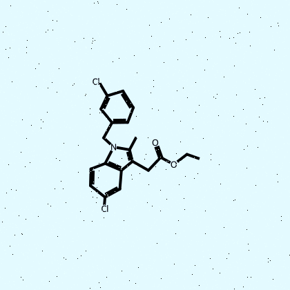 CCOC(=O)Cc1c(C)n(Cc2cccc(Cl)c2)c2ccc(Cl)cc12